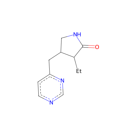 CCC1C(=O)NCC1Cc1ccncn1